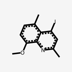 COc1ccc(C)c2c(I)cc(C)nc12